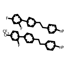 CCCc1ccc(CCc2ccc(-c3ccc(F)cc3F)cc2)cc1.CCCc1ccc(CCc2ccc(-c3ccc(OC(F)(F)F)cc3F)cc2)cc1